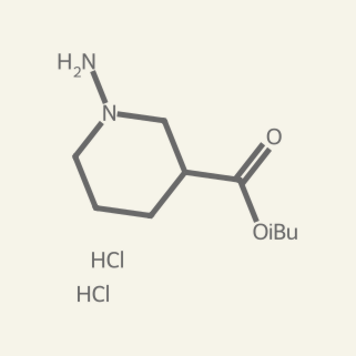 CC(C)COC(=O)C1CCCN(N)C1.Cl.Cl